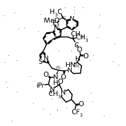 CCn1c(-c2cccnc2[C@H](C)OC)c2c3cc(ccc31)-c1csc(n1)C[C@H](NC(=O)C(C(C)C)N(C)C(=O)N1CCC(C(=O)C(F)(F)F)CC1)C(=O)N1CCC[C@H](N1)C(=O)OCC(C)(C)C2